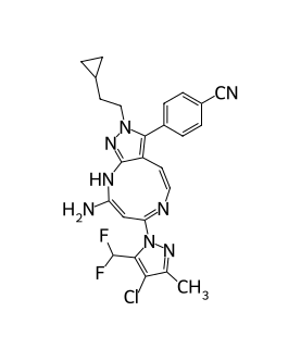 Cc1nn(-c2cc(N)[nH]c3nn(CCC4CC4)c(-c4ccc(C#N)cc4)c3ccn2)c(C(F)F)c1Cl